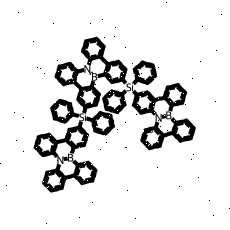 c1ccc([Si](c2ccccc2)(c2ccc3c(c2)-c2ccccc2N2B3c3ccccc3-c3ccccc32)c2ccc3c(c2)-c2ccccc2N2B3c3cc([Si](c4ccccc4)(c4ccccc4)c4ccc5c(c4)-c4ccccc4B4c6ccccc6-c6ccccc6N45)ccc3-c3ccccc32)cc1